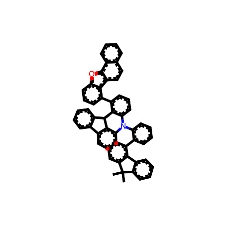 CC1(C)c2ccccc2-c2c(-c3ccccc3N3c4cccc5c4C(C)(c4ccccc4-5)c4c(-c5cccc6oc7c8ccccc8ccc7c56)cccc43)cccc21